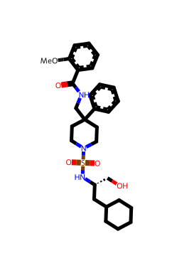 COc1ccccc1C(=O)NCC1(c2ccccc2)CCN(S(=O)(=O)N[C@H](CO)CC2CCCCC2)CC1